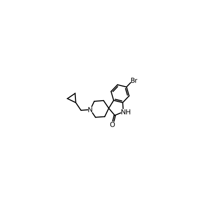 O=C1Nc2cc(Br)ccc2C12CCN(CC1CC1)CC2